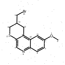 COc1ccc2ncc3c(c2c1)CC(CBr)CS3